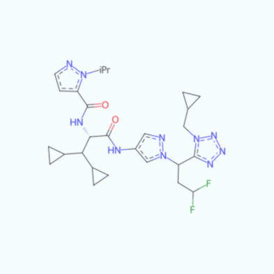 CC(C)n1nccc1C(=O)N[C@H](C(=O)Nc1cnn(C(CC(F)F)c2nnnn2CC2CC2)c1)C(C1CC1)C1CC1